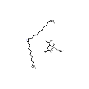 CCCCCCCC/C=C\CCCCCCCCN.O=C([O-])CC(C(=O)[O-])S(=O)(=O)O.[Na+].[Na+]